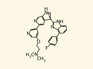 CN(C)CCOc1cncc(-c2cc3c(-c4nc5c(-c6ccc(F)cc6)cccc5[nH]4)n[nH]c3cn2)c1